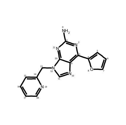 Nc1nc(-c2ccco2)c2ncn(Cc3ccccn3)c2n1